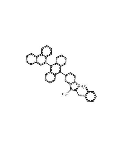 C=c1cccc/c1=C/c1oc2ccc(-c3c4ccccc4c(-c4cc5ccccc5c5ccccc45)c4ccccc34)cc2c1C